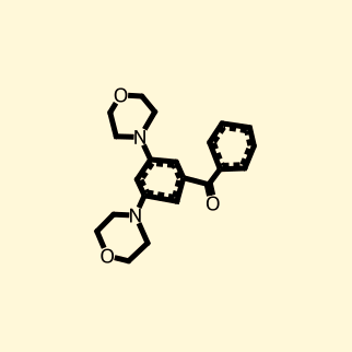 O=C(c1ccccc1)c1cc(N2CCOCC2)cc(N2CCOCC2)c1